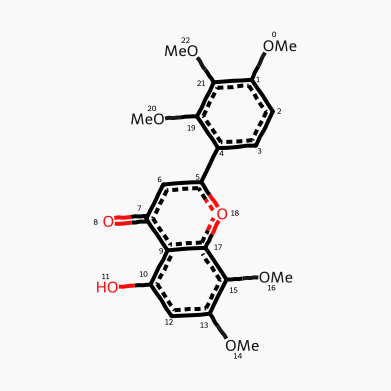 COc1ccc(-c2cc(=O)c3c(O)cc(OC)c(OC)c3o2)c(OC)c1OC